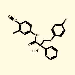 [C-]#[N+]c1ccc(NC(=O)[C@@](N)(CSc2ccc(F)cc2)c2ccccc2)cc1C